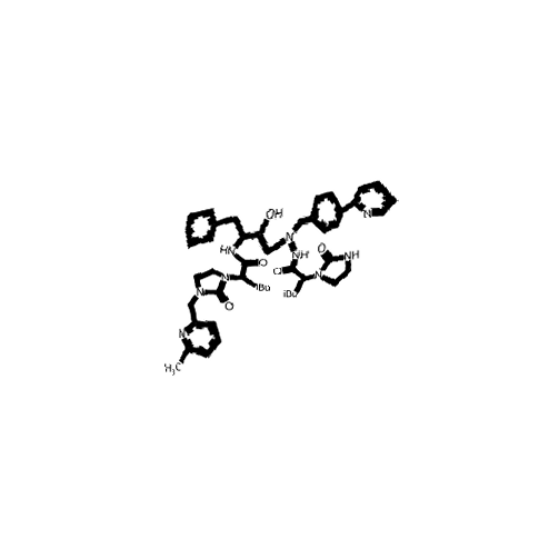 CCC(C)C(C(=O)NN(Cc1ccc(-c2ccccn2)cc1)CC(O)C(Cc1ccccc1)NC(=O)C(C(C)CC)N1CCN(Cc2cccc(C)n2)C1=O)N1CCNC1=O